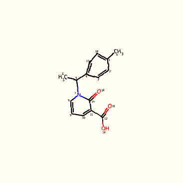 Cc1ccc(C(C)n2cccc(C(=O)O)c2=O)cc1